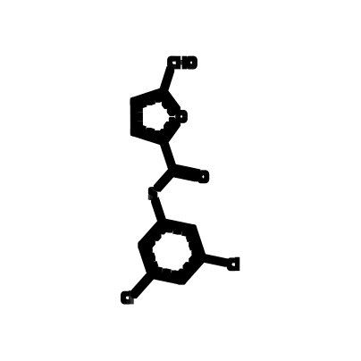 O=Cc1ccc(C(=O)Sc2cc(Cl)cc(Cl)c2)o1